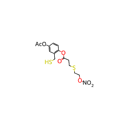 CC(=O)Oc1ccc(OC(=O)CCSCCO[N+](=O)[O-])c(CS)c1